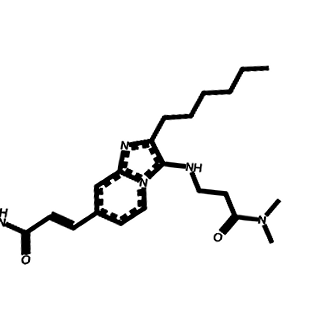 CCCCCCc1nc2cc(C=CC(=O)NO)ccn2c1NCCC(=O)N(C)C